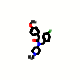 CN1CCC(N(Cc2ccc(F)cc2)C(=O)Cc2ccc(OC(C)(C)C)cc2)CC1